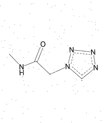 CNC(=O)Cn1[c]nnn1